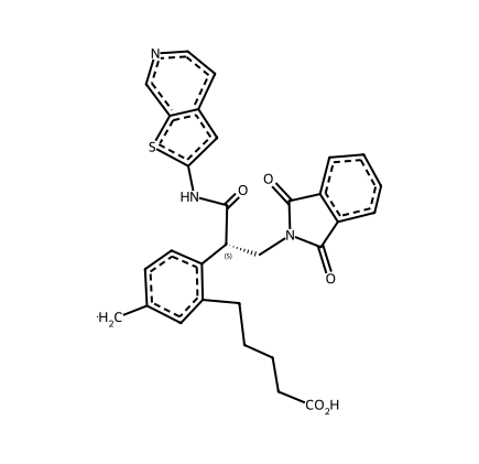 [CH2]c1ccc([C@@H](CN2C(=O)c3ccccc3C2=O)C(=O)Nc2cc3ccncc3s2)c(CCCCC(=O)O)c1